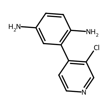 Nc1ccc(N)c(-c2ccncc2Cl)c1